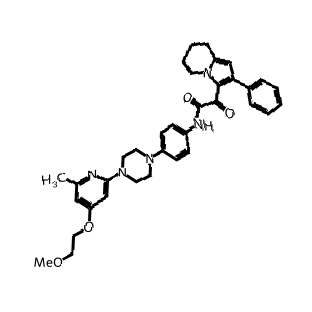 COCCOc1cc(C)nc(N2CCN(c3ccc(NC(=O)C(=O)c4c(-c5ccccc5)cc5n4CCCC5)cc3)CC2)c1